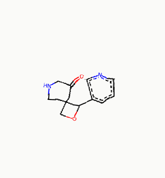 O=C1CNCC12COC2c1[c]nccc1